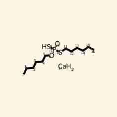 CCCCCCOP(=O)(S)SCCCCCC.[CaH2]